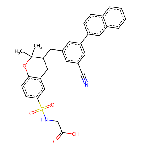 CC1(C)Oc2ccc(S(=O)(=O)NCC(=O)O)cc2CC1Cc1cc(C#N)cc(-c2ccc3ccccc3c2)c1